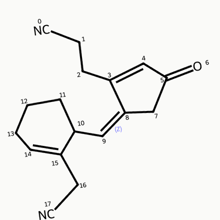 N#CCCC1=CC(=O)C/C1=C/C1CCCC=C1CC#N